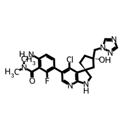 CN(C)C(=O)c1c(N)ccc(-c2cnc3c(c2Cl)[C@@]2(CC[C@@](O)(Cn4cncn4)C2)CN3)c1F